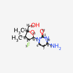 C[C@H]1[C@@H](F)[C@H](n2ccc(N)nc2=O)O[C@]1(C)CO